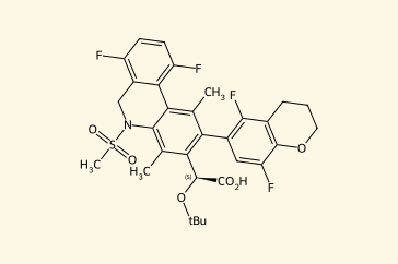 Cc1c(-c2cc(F)c3c(c2F)CCCO3)c([C@H](OC(C)(C)C)C(=O)O)c(C)c2c1-c1c(F)ccc(F)c1CN2S(C)(=O)=O